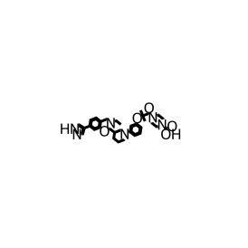 CCN(Cc1ccc(-c2cn[nH]c2)cc1)C(=O)C1CCCN(c2cccc(OC(C)(C)C(=O)N3CCN(C(=O)O)CC3)c2)C1